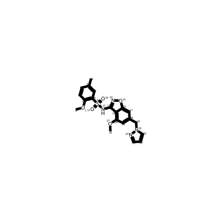 COc1ccc(C)cc1S(=O)(=O)Nc1noc2cc(Cn3cccn3)cc(OC)c12